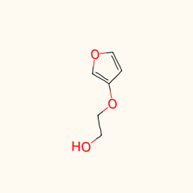 OCCOc1ccoc1